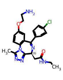 CCNC(=O)C[C@@H]1N=C(c2ccc(Cl)cc2)c2cc(OCCN)ccc2-n2c(C)nnc21